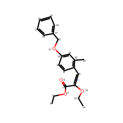 CCOC(=O)/C(=C\c1ccc(OCc2ccccc2)cc1C)OCC